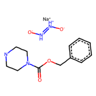 O=C(OCc1ccccc1)N1CC[N-]CC1.[Na+].[O-][NH+]=[NH+][O-]